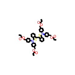 C=CC(=O)OCc1ccc(N(c2ccc(COC(=O)C=C)cc2)c2sc(-c3sc(N(c4ccc(COC(=O)C=C)cc4)c4ccc(COC(=O)C=C)cc4)c4ccccc34)c3ccccc23)cc1